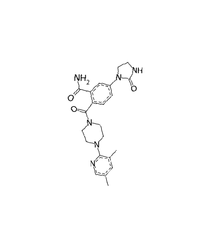 Cc1cnc(N2CCN(C(=O)c3ccc(N4CCNC4=O)cc3C(N)=O)CC2)c(C)c1